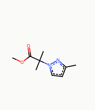 COC(=O)C(C)(C)n1ccc(C)n1